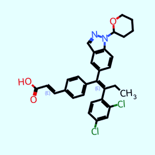 CC/C(=C(/c1ccc(/C=C/C(=O)O)cc1)c1ccc2c(cnn2C2CCCCO2)c1)c1ccc(Cl)cc1Cl